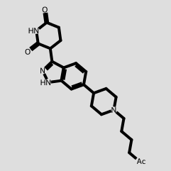 CC(=O)CCCCN1CCC(c2ccc3c(C4CCC(=O)NC4=O)n[nH]c3c2)CC1